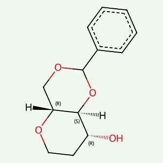 O[C@@H]1CCO[C@@H]2COC(c3ccccc3)O[C@@H]12